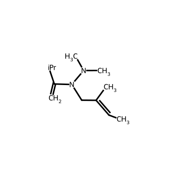 C=C(C(C)C)N(C/C(C)=C/C)N(C)C